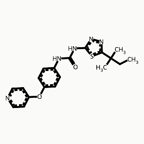 CCC(C)(C)c1nnc(NC(=O)Nc2ccc(Oc3ccncc3)cc2)s1